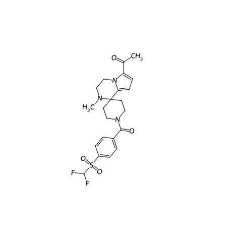 CC(=O)c1ccc2n1CCN(C)C21CCN(C(=O)c2ccc(S(=O)(=O)C(F)F)cc2)CC1